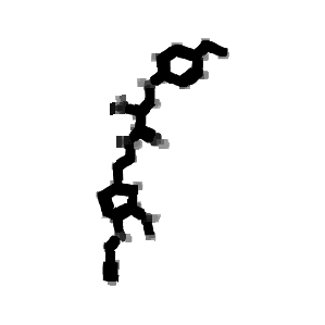 C#CCOc1ccc(CCNC(=O)C(O)COc2ccc(CC)cc2)cc1OC